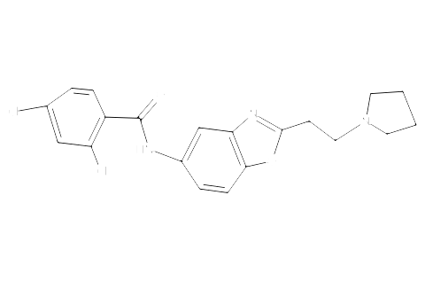 O=C(Nc1ccc2oc(CCN3CCCC3)nc2c1)c1ccc(Cl)cc1Cl